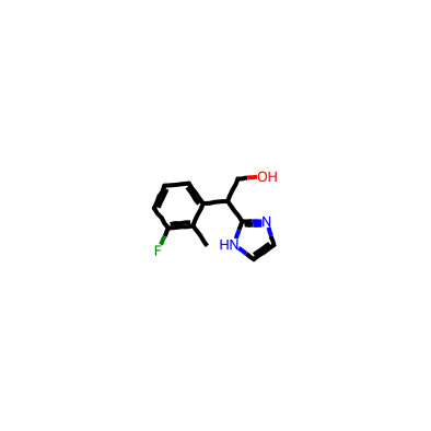 Cc1c(F)cccc1C(CO)c1ncc[nH]1